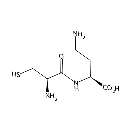 NCC[C@H](NC(=O)[C@@H](N)CS)C(=O)O